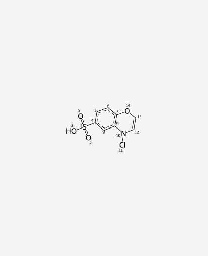 O=S(=O)(O)c1ccc2c(c1)N(Cl)C=CO2